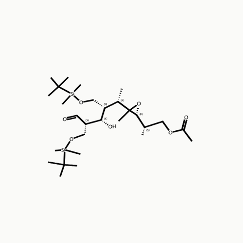 CC(=O)OC[C@H](C)[C@H]1OC1(C)[C@@H](C)[C@@H](CO[Si](C)(C)C(C)(C)C)[C@H](O)[C@@H](C=O)CO[Si](C)(C)C(C)(C)C